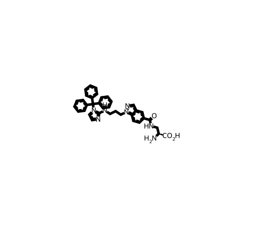 N[C@@H](CNC(=O)c1ccc2c(cnn2CCCNc2nccn2C(c2ccccc2)(c2ccccc2)c2ccccc2)c1)C(=O)O